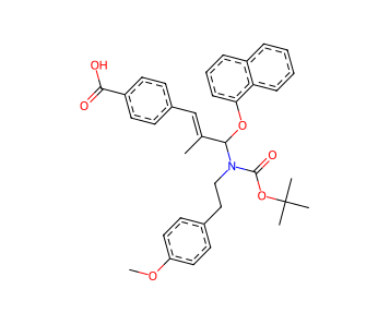 COc1ccc(CCN(C(=O)OC(C)(C)C)C(Oc2cccc3ccccc23)C(C)=Cc2ccc(C(=O)O)cc2)cc1